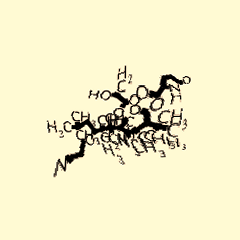 C=C(O)C(=O)OCC(C(C)(C)C(C)(C)C(CC(C)(C)C)OCCC#N)C(C)(N)C(C)(C)C(C(=O)OC(=O)C1CCC(=O)N1)C(C)(C)C